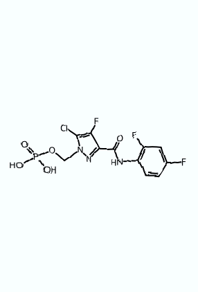 O=C(Nc1ccc(F)cc1F)c1nn(COP(=O)(O)O)c(Cl)c1F